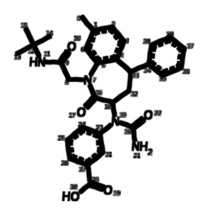 Cc1ccc2c(c1)N(CC(=O)NC(C)(C)C)C(=O)C(N(C(N)=O)c1cccc(C(=O)O)c1)CC2c1ccccc1